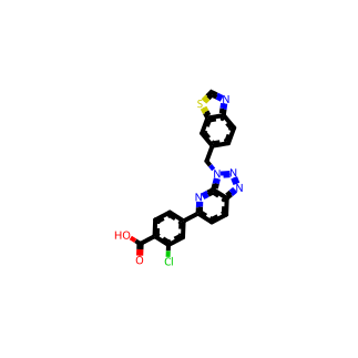 O=C(O)c1ccc(-c2ccc3nnn(Cc4ccc5ncsc5c4)c3n2)cc1Cl